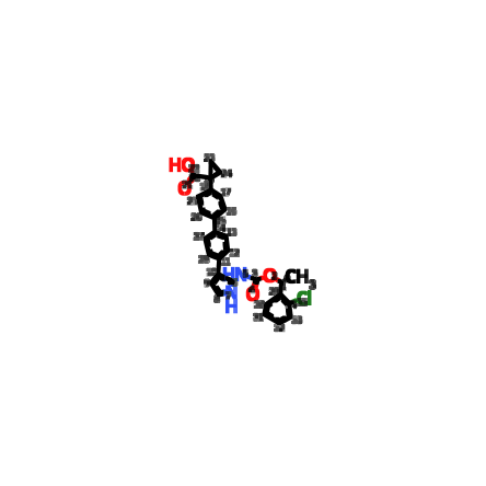 C[C@@H](OC(=O)Nc1[nH]ccc1-c1ccc(-c2ccc(C3(C(=O)O)CC3)cc2)cc1)c1ccccc1Cl